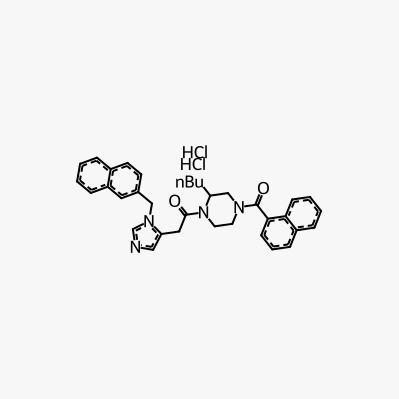 CCCCC1CN(C(=O)c2cccc3ccccc23)CCN1C(=O)Cc1cncn1Cc1ccc2ccccc2c1.Cl.Cl